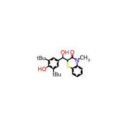 CN1C(=O)C(C(O)c2cc(C(C)(C)C)c(O)c(C(C)(C)C)c2)Sc2ccccc21